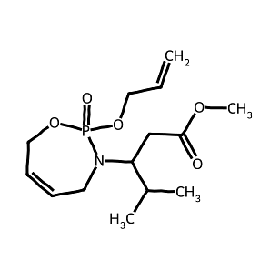 C=CCOP1(=O)OCC=CCN1C(CC(=O)OC)C(C)C